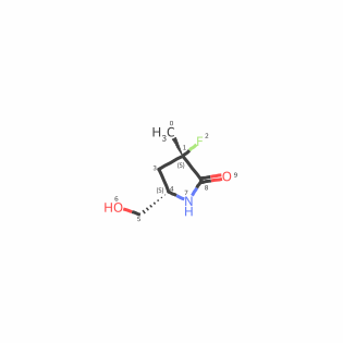 C[C@]1(F)C[C@@H](CO)NC1=O